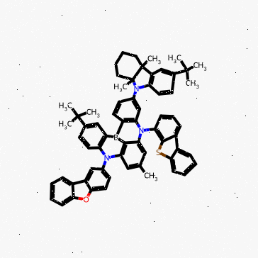 Cc1cc2c3c(c1)N(c1cccc4c1sc1ccccc14)c1cc(N4c5ccc(C(C)(C)C)cc5C5(C)CCCCC45C)ccc1B3c1cc(C(C)(C)C)ccc1N2c1ccc2oc3ccccc3c2c1